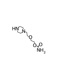 NC(=O)OCCOCCN1CCNCC1